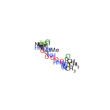 COc1cc(C(=O)NCCOCCOCCNC(=O)C[C@@H]2N=C(c3ccc(Cl)cc3)c3c(sc(C)c3C)-n3c(C)nnc32)ccc1NC(=O)[C@@H]1N[C@@H](CC(C)(C)C)[C@](C#N)(c2ccc(Cl)cc2F)[C@H]1c1cccc(Cl)c1F